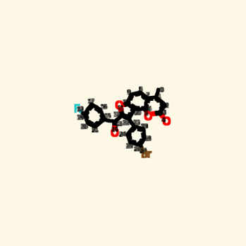 Cc1cc(=O)oc2c1ccc1oc(C(=O)c3ccc(F)cc3)c(-c3ccc(Br)cc3)c12